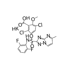 COc1c(Cl)ccc(Cl)c1C(=O)O.Cc1ccn2nc(S(=O)(=O)Nc3c(F)cccc3F)nc2n1.[KH]